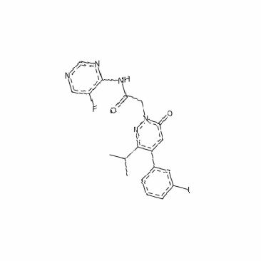 CC(C)c1nn(CC(=O)Nc2ncncc2F)c(=O)cc1-c1cccc(I)c1